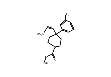 CCOC(=O)/C=C\C1(c2cccc(C(F)(F)F)c2)CCN(C(=O)OC(C)(C)C)CC1